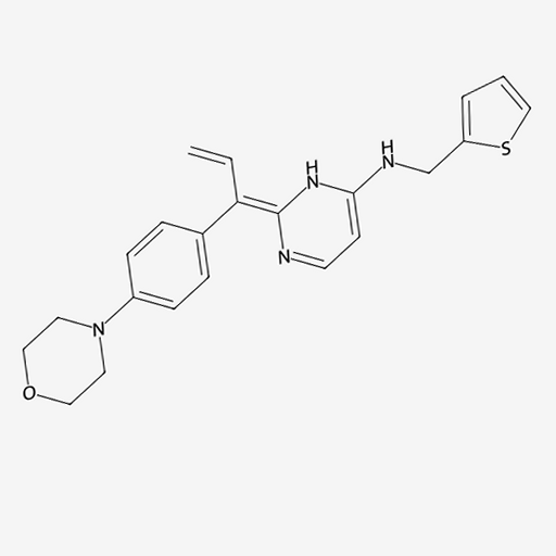 C=C/C(=C1/N=CC=C(NCc2cccs2)N1)c1ccc(N2CCOCC2)cc1